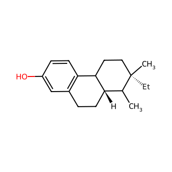 CC[C@@]1(C)CCC2c3ccc(O)cc3CC[C@H]2C1C